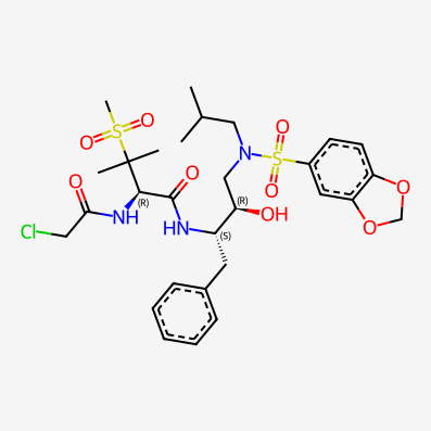 CC(C)CN(C[C@@H](O)[C@H](Cc1ccccc1)NC(=O)[C@@H](NC(=O)CCl)C(C)(C)S(C)(=O)=O)S(=O)(=O)c1ccc2c(c1)OCO2